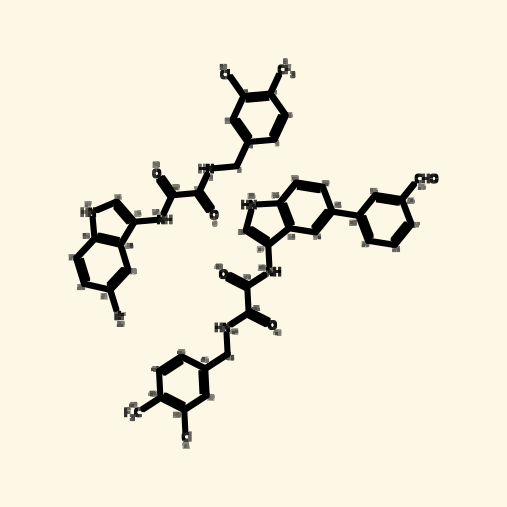 O=C(NCc1ccc(C(F)(F)F)c(Cl)c1)C(=O)Nc1c[nH]c2ccc(Br)cc12.O=Cc1cccc(-c2ccc3[nH]cc(NC(=O)C(=O)NCc4ccc(C(F)(F)F)c(Cl)c4)c3c2)c1